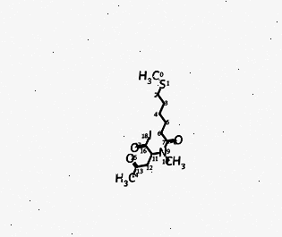 CSCCCCCC(=O)N(C)C(CC(C)=O)C(=O)I